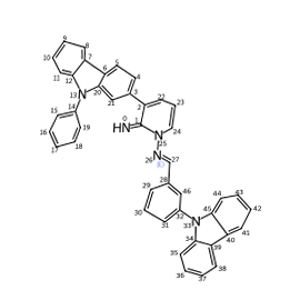 N=c1c(-c2ccc3c4ccccc4n(-c4ccccc4)c3c2)cccn1/N=C/c1cccc(-n2c3ccccc3c3ccccc32)c1